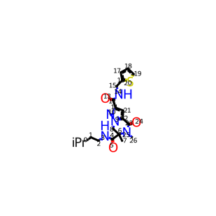 CC(C)CCNC(=O)C1(C)Cn2nc(C(=O)NCc3cccs3)cc2C(=O)N1C